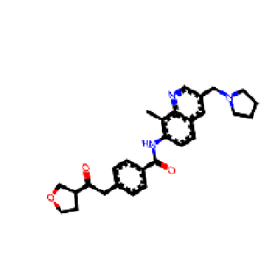 Cc1c(NC(=O)c2ccc(CC(=O)C3CCOC3)cc2)ccc2cc(CN3CCCC3)cnc12